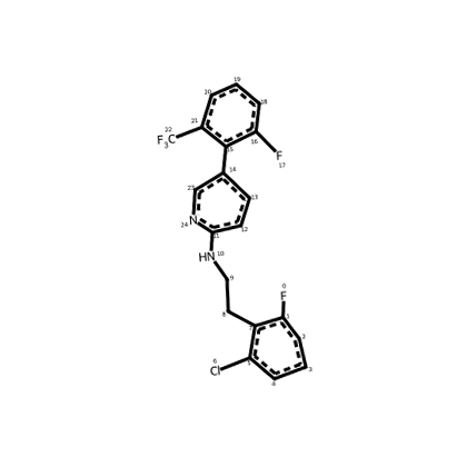 Fc1cccc(Cl)c1CCNc1ccc(-c2c(F)cccc2C(F)(F)F)cn1